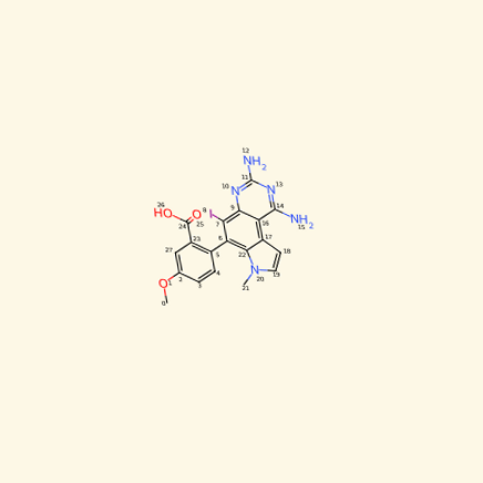 COc1ccc(-c2c(I)c3nc(N)nc(N)c3c3ccn(C)c23)c(C(=O)O)c1